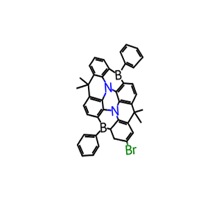 CC1(C)C2=C3C(CC(Br)=C2)B(c2ccccc2)c2ccc4c5c2N3c2c1ccc1c2N5c2c(cccc2C4(C)C)B1c1ccccc1